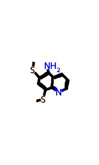 CSc1cc(SC)c2ncccc2c1N